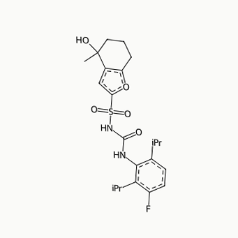 CC(C)c1ccc(F)c(C(C)C)c1NC(=O)NS(=O)(=O)c1cc2c(o1)CCCC2(C)O